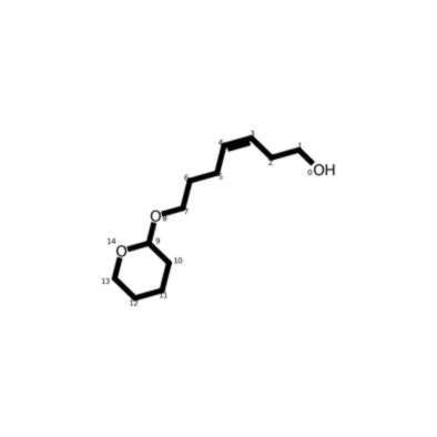 OCC/C=C\CCCOC1CCCCO1